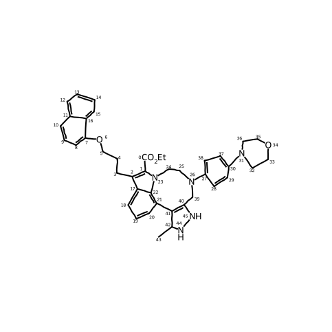 CCOC(=O)c1c(CCCOc2cccc3ccccc23)c2cccc3c2n1CCN(c1ccc(N2CCOCC2)cc1)CC1=C3C(C)NN1